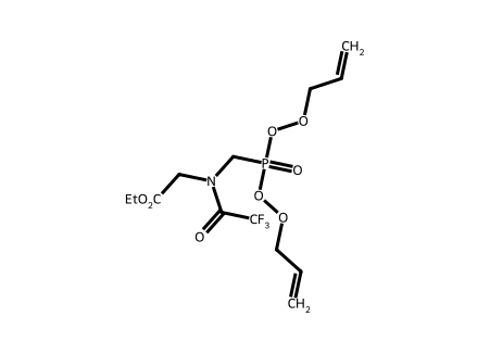 C=CCOOP(=O)(CN(CC(=O)OCC)C(=O)C(F)(F)F)OOCC=C